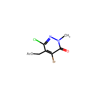 CC(=O)OCc1c(Cl)nn(C)c(=O)c1Br